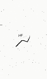 CCCI.F